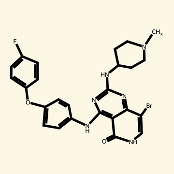 CN1CCC(Nc2nc(Nc3ccc(Oc4ccc(F)cc4)cc3)c3c(=O)[nH]cc(Br)c3n2)CC1